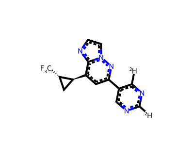 [2H]c1ncc(-c2cc([C@H]3C[C@@H]3C(F)(F)F)c3nccn3n2)c([2H])n1